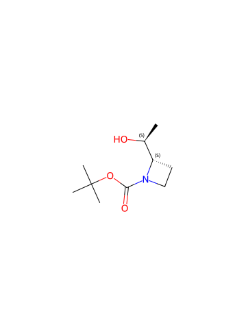 C[C@H](O)[C@@H]1CCN1C(=O)OC(C)(C)C